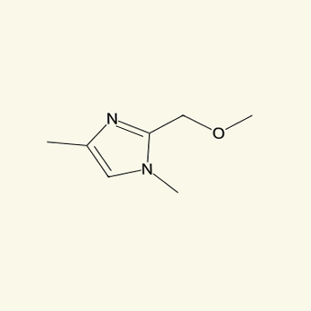 COCc1nc(C)cn1C